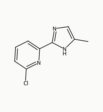 Cc1cnc(-c2cccc(Cl)n2)[nH]1